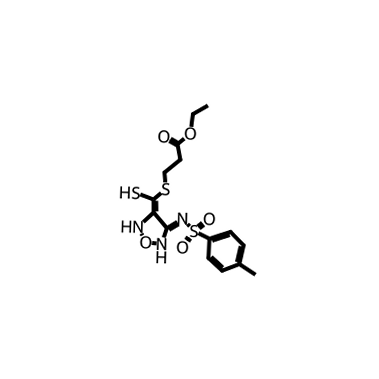 CCOC(=O)CCSC(S)=C1NON/C1=N\S(=O)(=O)c1ccc(C)cc1